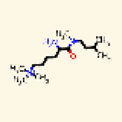 CC(C)CCN(C)C(=O)C(N)CCCC[N+](C)(C)C